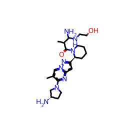 Cc1cn2nc([C@@H]3CCCCN3C(=O)C(C)C(N)NCCO)cc2nc1N1CC[C@H](N)C1